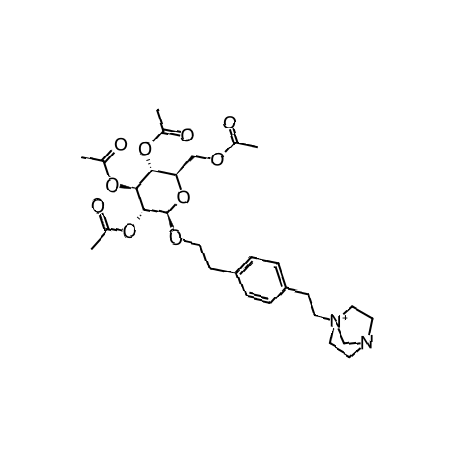 CC(=O)OC[C@H]1O[C@@H](OCCc2ccc(CC[N+]34CCN(CC3)C4)cc2)[C@H](OC(C)=O)[C@@H](OC(C)=O)[C@@H]1OC(C)=O